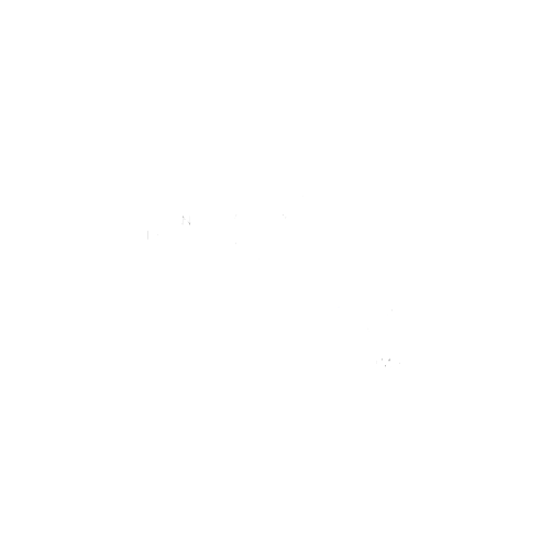 COC(=O)/C=C/c1ccc2c(c1)C(=O)CC1(CCCN(C)C1)O2